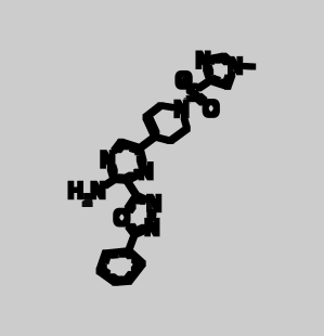 Cn1cnc(S(=O)(=O)N2CC=C(c3cnc(N)c(-c4nnc(-c5ccccc5)o4)n3)CC2)c1